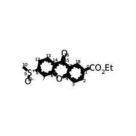 CCOC(=O)c1ccc2oc3cc([S+](C)[O-])ccc3c(=O)c2c1